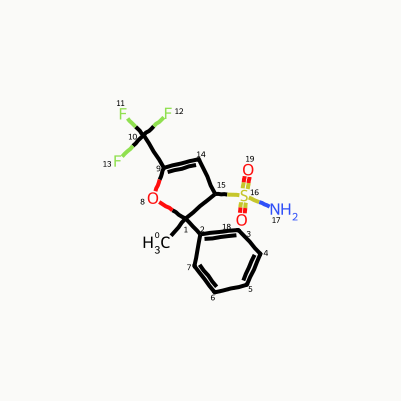 CC1(c2ccccc2)OC(C(F)(F)F)=CC1S(N)(=O)=O